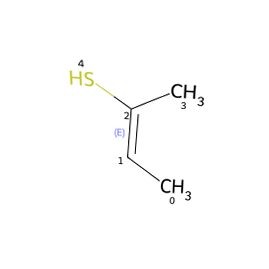 C/C=C(\C)S